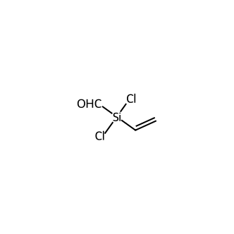 C=C[Si](Cl)(Cl)C=O